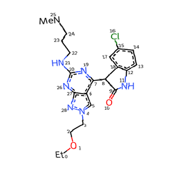 CCOCCn1cc2c(C3C(=O)Nc4ccc(Cl)cc43)nc(NCCCNC)nc2n1